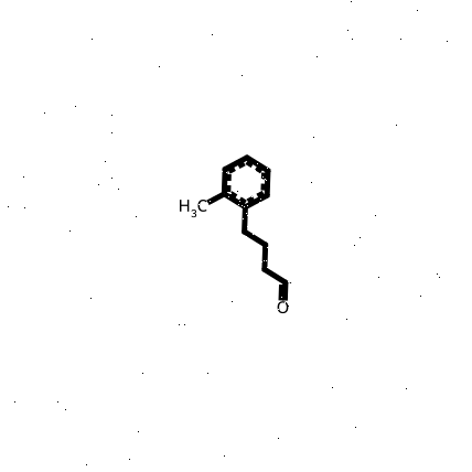 Cc1ccccc1CCC[C]=O